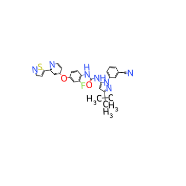 CC(C)(C)c1cc(NC(=O)Nc2ccc(Oc3ccnc(-c4ccns4)c3)cc2F)n(-c2cccc(C#N)c2)n1